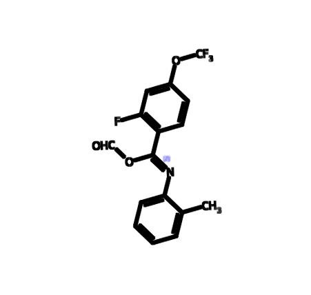 Cc1ccccc1/N=C(\OC=O)c1ccc(OC(F)(F)F)cc1F